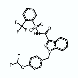 O=C(NS(=O)(=O)c1ccccc1C(F)(F)F)c1nn(Cc2ccc(OC(F)F)cc2)c2ccccc12